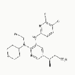 CC(C)CN(c1ncc([C@H](C)CC(=O)O)cc1Nc1ccc(Cl)c(F)n1)C1CCOCC1